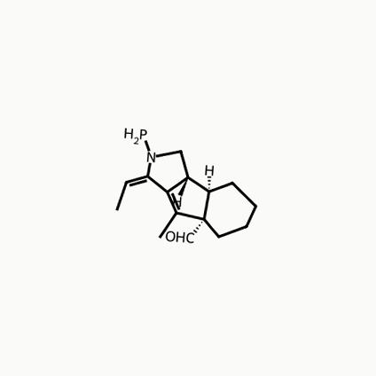 C/C=C1\C2=C(C)[C@]3(C=O)CCCC[C@@H]3[C@H]2CN1P